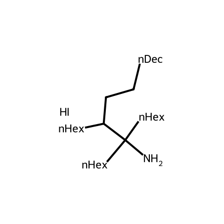 CCCCCCCCCCCCC(CCCCCC)C(N)(CCCCCC)CCCCCC.I